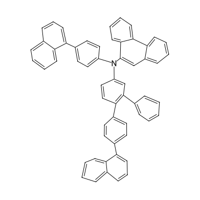 c1ccc(-c2cc(N(c3ccc(-c4cccc5ccccc45)cc3)c3cc4ccccc4c4ccccc34)ccc2-c2ccc(-c3cccc4ccccc34)cc2)cc1